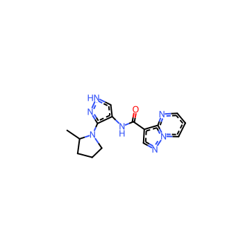 CC1CCCN1c1n[nH]cc1NC(=O)c1cnn2cccnc12